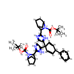 CC(C)(C)OC(=O)N1C2CCC(C2)C1c1ncc(C2(c3cnc(C4C5CCC(C5)N4C(=O)OC(C)(C)C)[nH]3)C=CC(c3ccccc3)C=C2)[nH]1